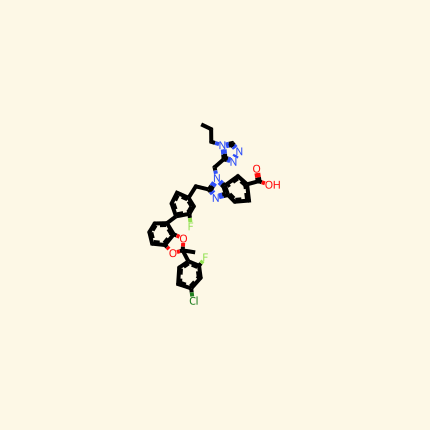 CCCn1cnnc1Cn1c(Cc2ccc(-c3cccc4c3OC(C)(c3ccc(Cl)cc3F)O4)c(F)c2)nc2ccc(C(=O)O)cc21